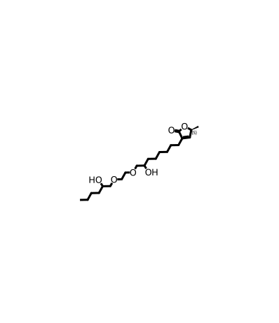 CCCCC(O)COCCOCC(O)CCCCCCC1=C[C@H](C)OC1=O